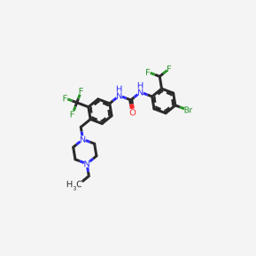 CCN1CCN(Cc2ccc(NC(=O)Nc3ccc(Br)cc3C(F)F)cc2C(F)(F)F)CC1